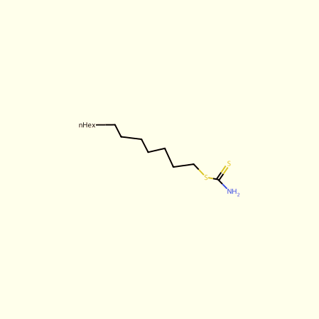 CCCCCCCCCCCCCSC(N)=S